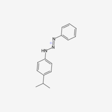 CC(C)c1ccc(N/N=N/c2ccccc2)cc1